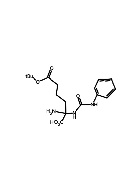 CC(C)(C)OC(=O)CCCC(N)(NC(=O)Nc1ccccc1)C(=O)O